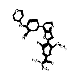 COc1cc(C(=O)N(C)C)cc(F)c1-c1cc2nccc(-c3ccc(NC4CCOCC4)c(C#N)c3)c2o1